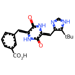 CC(C)(C)c1[nH]cnc1/C=c1\[nH]c(=O)/c(=C/c2cccc(C(=O)O)c2)[nH]c1=O